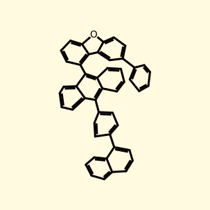 c1ccc(-c2ccc3oc4cccc(-c5c6ccccc6c(-c6ccc(-c7cccc8ccccc78)cc6)c6ccccc56)c4c3c2)cc1